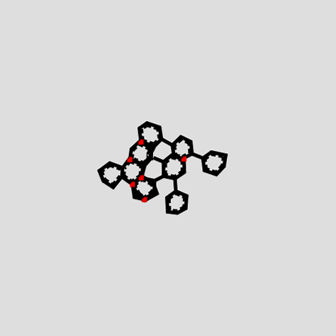 c1ccc(-c2ccc(-c3ccccc3N(c3cccc(-c4ccccc4)c3-c3ccccc3-c3ccccc3)c3cc4ccccc4c4ccccc34)cc2)cc1